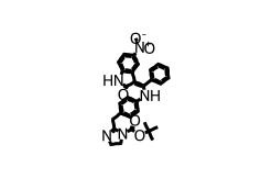 CC(C)(C)OC(=O)N1CCN=C1Cc1ccc(N/C(=C2\C(=O)Nc3ccc([N+](=O)[O-])cc32)c2ccccc2)cc1